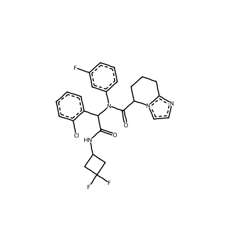 O=C(NC1CC(F)(F)C1)C(c1ccccc1Cl)N(C(=O)C1CCCc2nccn21)c1cccc(F)c1